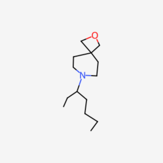 CCCCC(CC)N1CCC2(CC1)COC2